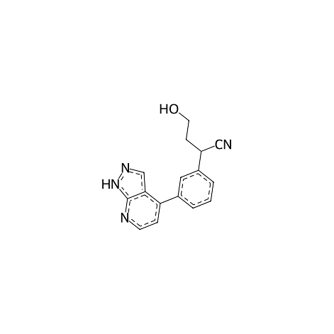 N#CC(CCO)c1cccc(-c2ccnc3[nH]ncc23)c1